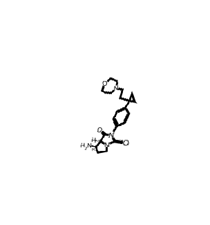 N[C@@H]1CCN2C(=O)N(c3ccc(C4(CCN5CCOCC5)CC4)cc3)C(=O)[C@H]12